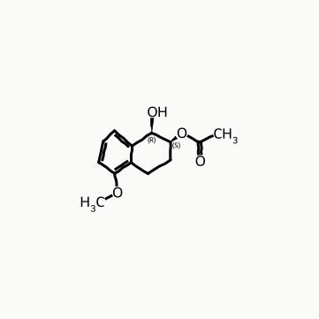 COc1cccc2c1CC[C@H](OC(C)=O)[C@@H]2O